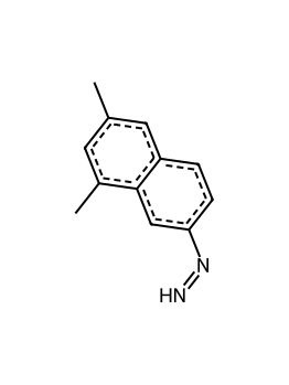 Cc1cc(C)c2cc(N=N)ccc2c1